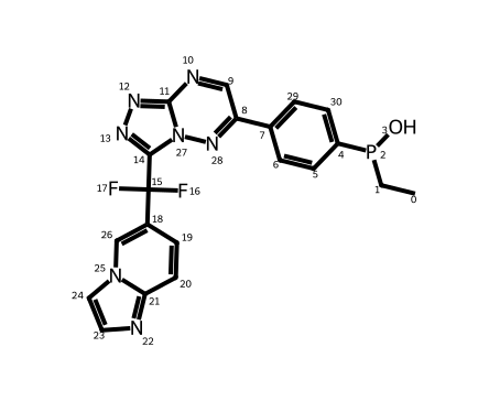 CCP(O)c1ccc(-c2cnc3nnc(C(F)(F)c4ccc5nccn5c4)n3n2)cc1